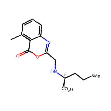 CSCC[C@H](NCc1nc2cccc(C)c2c(=O)o1)C(=O)O